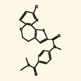 CN(C)C(=O)c1ccc(N(C)C(=O)c2cc3c(s2)-c2nc(Cl)ccc2OCC3)cc1